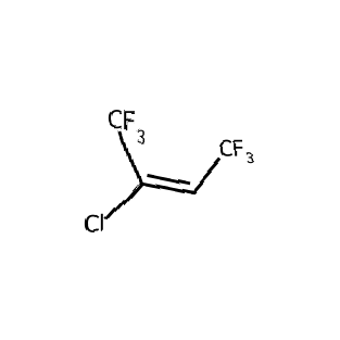 FC(F)(F)/C=C(/Cl)C(F)(F)F